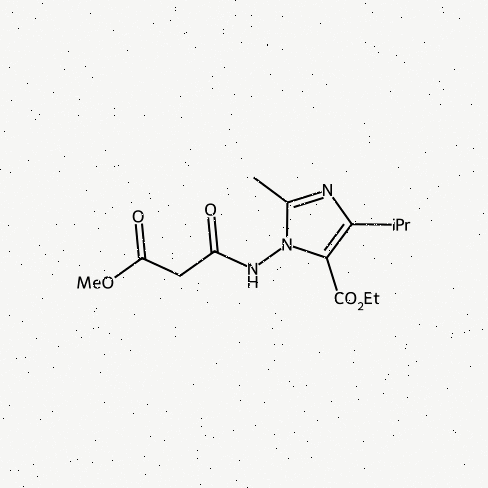 CCOC(=O)c1c(C(C)C)nc(C)n1NC(=O)CC(=O)OC